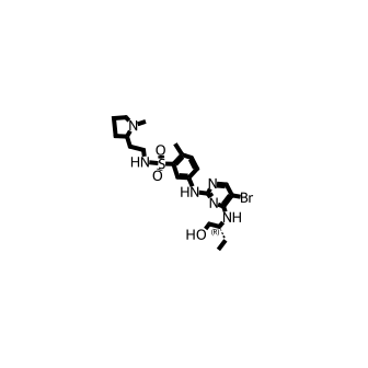 CC[C@H](CO)Nc1nc(Nc2ccc(C)c(S(=O)(=O)NCCC3CCCN3C)c2)ncc1Br